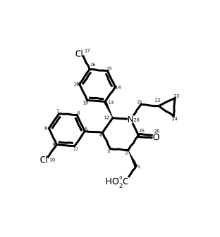 O=C(O)C[C@H]1CC(c2cccc(Cl)c2)[C@@H](c2ccc(Cl)cc2)N(CC2CC2)C1=O